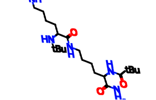 CC(C)NCCCCC(NC(C)(C)C)C(=O)NCCCCC(NC(=O)C(C)(C)C)C(N)=O